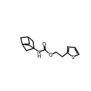 O=C(NC12CC3CC(C3)(C1)C2)OCCc1cccs1